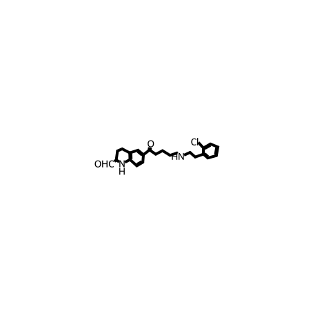 O=CC1CCc2cc(C(=O)CCCCNCCc3ccccc3Cl)ccc2N1